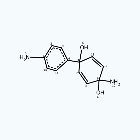 Nc1ccc(C2(O)C=CC(N)(O)C=C2)cc1